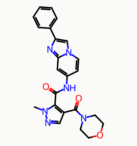 Cn1ncc(C(=O)N2CCOCC2)c1C(=O)Nc1ccn2cc(-c3ccccc3)nc2c1